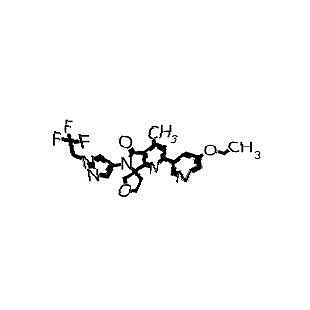 CCOc1cncc(-c2cc(C)c3c(n2)C2(CCOC2)N(c2cnn(CC(F)(F)F)c2)C3=O)c1